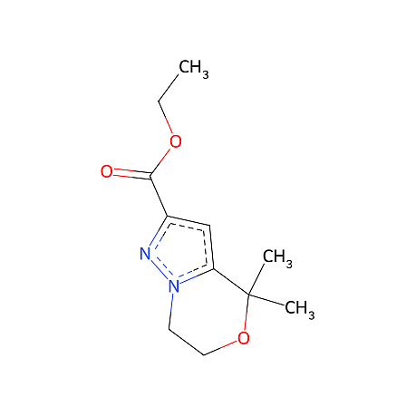 CCOC(=O)c1cc2n(n1)CCOC2(C)C